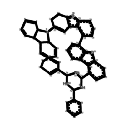 C1=CC2C3C=CC=CC3N(C3=Cc4c(oc5cccc(-c6cccc7c6oc6cccc(C8NC(C9=CCCC=C9)NC(c9ccccc9)N8)c67)c45)CC3)C2C=C1